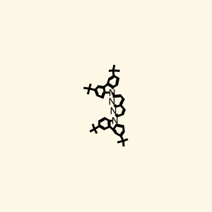 CC(C)(C)c1ccc2c(c1)c1cc(C(C)(C)C)ccc1n2-c1ccc2ccc(-n3c4ccc(C(C)(C)C)cc4c4cc(C(C)(C)C)ccc43)nc2n1